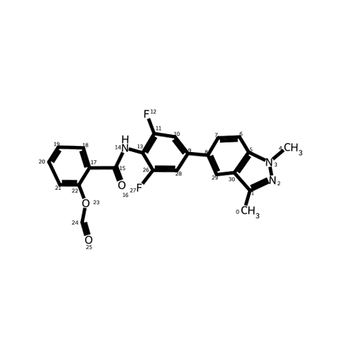 Cc1nn(C)c2ccc(-c3cc(F)c(NC(=O)c4ccccc4OC=O)c(F)c3)cc12